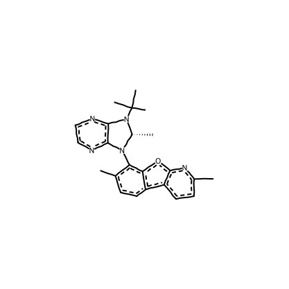 Cc1ccc2c(n1)oc1c(N3c4nccnc4N(C(C)(C)C)[C@@H]3C)c(C)ccc12